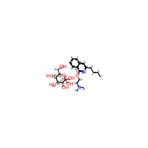 CCCCc1cc2ccccc2c(OCCN(C)C)n1.OC[C@H]1OC(O)(O)[C@H](O)[C@@H](O)[C@@H]1O